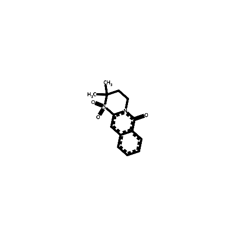 CC1(C)CCn2c(cc3ccccc3c2=O)S1(=O)=O